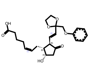 O=C(O)CCC/C=C\C[C@H]1[C@@H](O)CC(=O)[C@@H]1/C=C/C1(COc2ccccc2)OCCO1